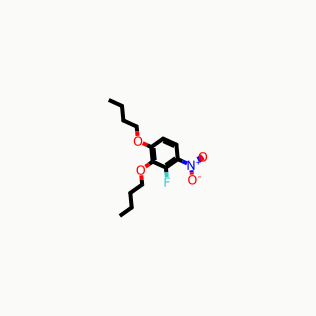 CCCCOc1ccc([N+](=O)[O-])c(F)c1OCCCC